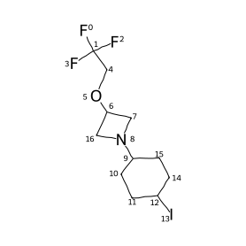 FC(F)(F)COC1CN(C2CCC(I)CC2)C1